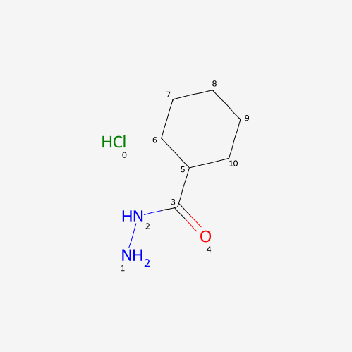 Cl.NNC(=O)C1CCCCC1